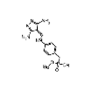 CCC(C)OP(=O)(O)Cc1ccc(NN=C2C(N)=NN=C2N)cc1